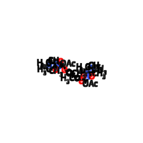 CC(=O)OC(COc1ccc(C(C)(C)c2ccc(OCC(CN3C(=O)N(C(C)=O)C4(CC(C)(C)N(C(C)=O)C(C)(C)C4)C3=O)OC(C)=O)cc2)cc1)CN1C(=O)N(C(C)=O)C2(CC(C)(C)N(C(C)=O)C(C)(C)C2)C1=O